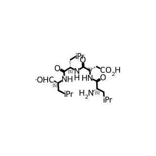 CC(C)C[C@@H]([C]=O)NC(=O)[C@H](CC(C)C)NC(=O)[C@H](CC(=O)O)NC(=O)[C@@H](N)CC(C)C